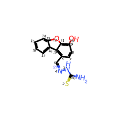 NC(=S)N/N=C\c1ccc(O)c2oc3ccccc3c12